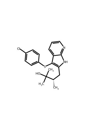 C[C@@H](Cc1[nH]c2ncccc2c1Sc1ccc(Cl)cc1)C(C)(C)O